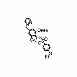 CCOc1ccc(S(=O)(=O)Nc2noc3cc(Cn4cccn4)cc(OC)c23)cc1